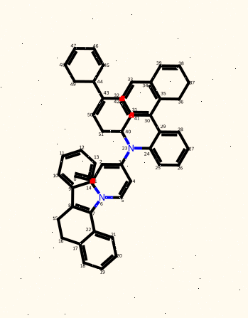 C=C/C=C(\C=C/n1c2c(c3ccccc31)CCc1ccccc1-2)N(c1ccccc1-c1cccc2c1CCC=C2)C1C=CC(C2C=CC=CC2)=CC1